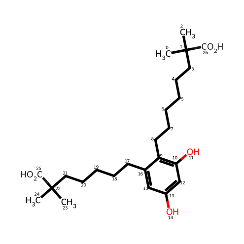 CC(C)(CCCCCCc1c(O)cc(O)cc1CCCCCC(C)(C)C(=O)O)C(=O)O